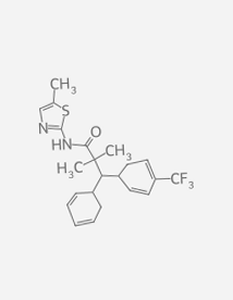 Cc1cnc(NC(=O)C(C)(C)C(C2C=CC=CC2)C2C=CC(C(F)(F)F)=CC2)s1